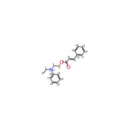 CCN(CCOC(=O)C=Cc1ccccc1)c1ccccc1